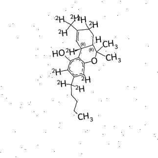 [2H]c1c(O)c2c(c([2H])c1C([2H])([2H])CCCC)OC(C)(C)[C@@H]1CC([2H])([2H])C(C([2H])([2H])[2H])=C[C@@]21[2H]